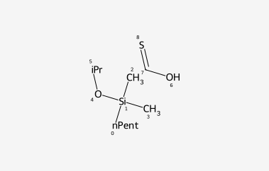 CCCCC[Si](C)(C)OC(C)C.OC=S